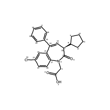 O=C(O)CN1C(=O)[C@H](C2CCCC2)N=C(c2ccccc2)c2cc(Cl)ccc21